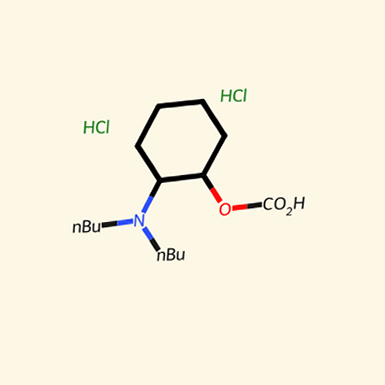 CCCCN(CCCC)C1CCCCC1OC(=O)O.Cl.Cl